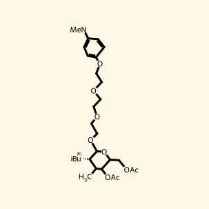 CC[C@@H](C)C1C(OCCOCCOCCOc2ccc(NC)cc2)OC(COC(C)=O)C(OC(C)=O)C1C